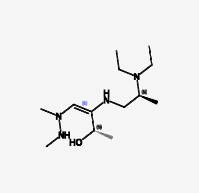 CCN(CC)[C@@H](C)CN/C(=C/N(C)NC)[C@H](C)O